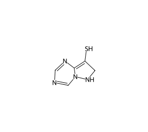 SC1=C2N=CN=CN2NC1